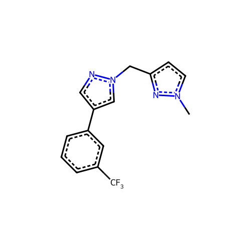 Cn1ccc(Cn2cc(-c3cccc(C(F)(F)F)c3)cn2)n1